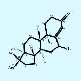 CC(=O)O[C@]1(C(C)=O)CC[C@H]2[C@@H]3CC(Cl)C4=CC(=O)CC[C@]4(C)[C@H]3CC[C@@]21C